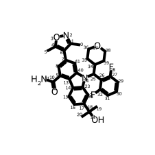 Cc1noc(C)c1-c1cc(C(N)=O)c2c3ccc(C(C)(C)O)cc3n(C(c3c(F)cccc3F)C3CCOCC3)c2c1